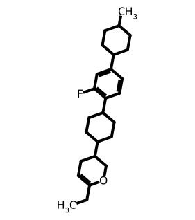 CCC1=CCC(C2CCC(c3ccc(C4CCC(C)CC4)cc3F)CC2)CO1